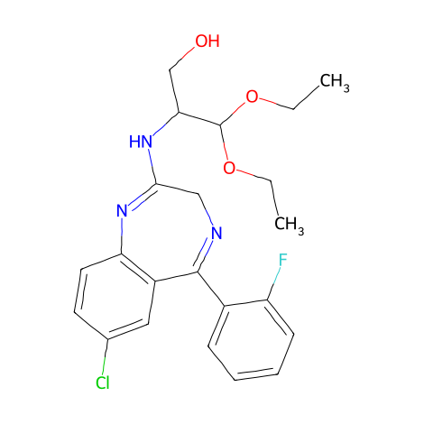 CCOC(OCC)C(CO)NC1=Nc2ccc(Cl)cc2C(c2ccccc2F)=NC1